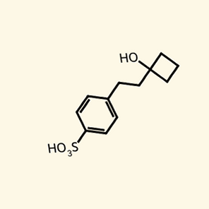 O=S(=O)(O)c1ccc(CCC2(O)CCC2)cc1